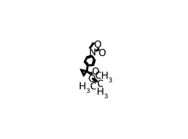 CC(C)(C)OC(=O)C1(c2ccc(N3CCOC3=O)cc2)CC1